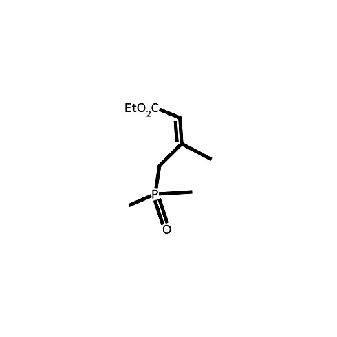 CCOC(=O)C=C(C)CP(C)(C)=O